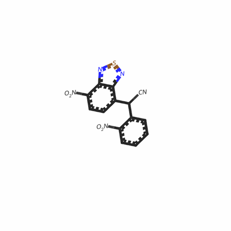 N#CC(c1ccccc1[N+](=O)[O-])c1ccc([N+](=O)[O-])c2nsnc12